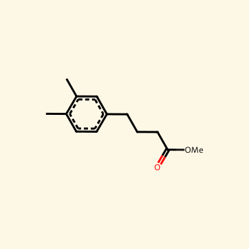 COC(=O)CCCc1ccc(C)c(C)c1